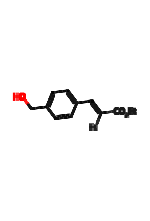 CCOC(=O)C(=Cc1ccc(CO)cc1)CC